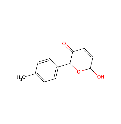 Cc1ccc(C2OC(O)C=CC2=O)cc1